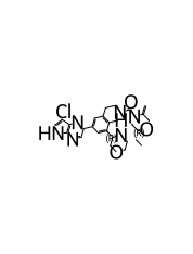 C=C1CO[C@H](CC)CN1C(=O)N1CCc2cc(-c3cnc4[nH]cc(Cl)c4n3)cc([C@@H]3COCCN3)c2C1